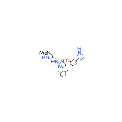 CN/C=C(\C=N)SNc1nc(Oc2cccc(C3CCCNC3)c2)cc(-c2c(C)cccc2C)n1